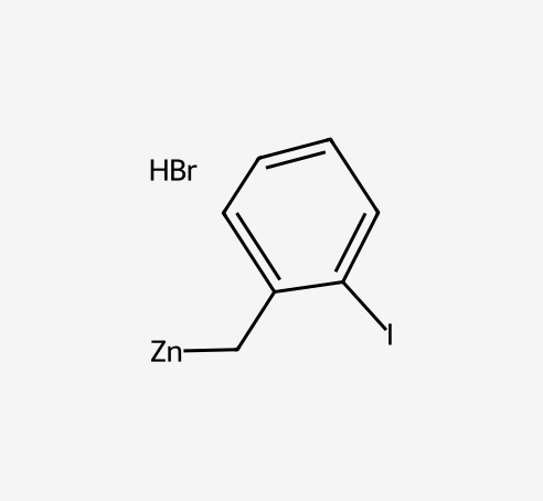 Br.[Zn][CH2]c1ccccc1I